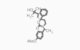 COc1ccc([C@H](C)N2CC[C@](CCC(C)(C)O)(c3ccccc3)OC2=O)cc1